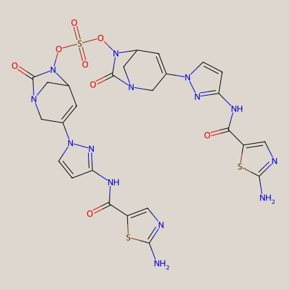 Nc1ncc(C(=O)Nc2ccn(C3=CC4CN(C3)C(=O)N4OS(=O)(=O)ON3C(=O)N4CC(n5ccc(NC(=O)c6cnc(N)s6)n5)=CC3C4)n2)s1